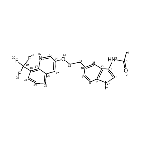 CC(=O)Nc1c[nH]c2ccc(CCOc3cnc4c(C(F)(F)F)cccc4c3)cc12